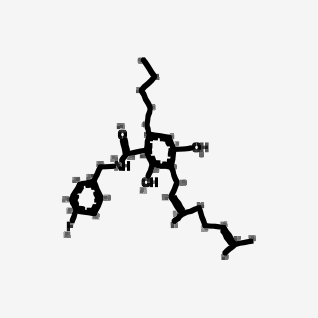 CCCCCc1cc(O)c(CC=C(C)CCC=C(C)C)c(O)c1C(=O)NCc1ccc(F)cc1